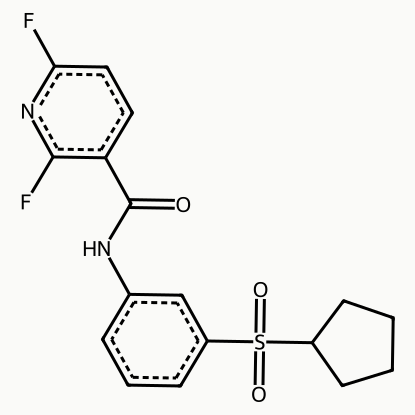 O=C(Nc1cccc(S(=O)(=O)C2CCCC2)c1)c1ccc(F)nc1F